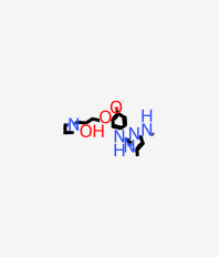 CNc1cc(C)nc(Nc2ccc(OC)c(OCCC(O)CN3CCC3)c2)n1